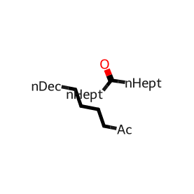 CCCCCCCC(=O)CCCCCCC.CCCCCCCCCCCCCCC(C)=O